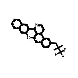 CC(C)(Cc1ccc2cc3c4c(nccc4c2c1)-c1cc2ccccc2cc1O3)C(F)(F)F